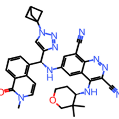 Cn1ccc2c([C@H](Nc3cc(C#N)c4nnc(C#N)c(N[C@@H]5CCOCC5(C)C)c4c3)c3cn(C45CC(C4)C5)nn3)cccc2c1=O